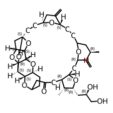 C=C1C[C@@H]2CC[C@@]34C[C@H]5O[C@H]6[C@@H](O3)[C@H]3OC(CC[C@@H]3O[C@H]6[C@H]5O4)CC(=O)C[C@@H]3[C@@H](C)[C@@H](C[C@@H](O)CO)O[C@H]3C[C@H]3OC(CC[C@@H]1O2)C[C@@H](C)C3=C